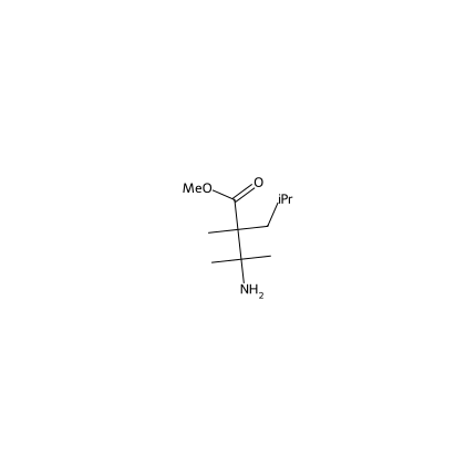 COC(=O)C(C)(CC(C)C)C(C)(C)N